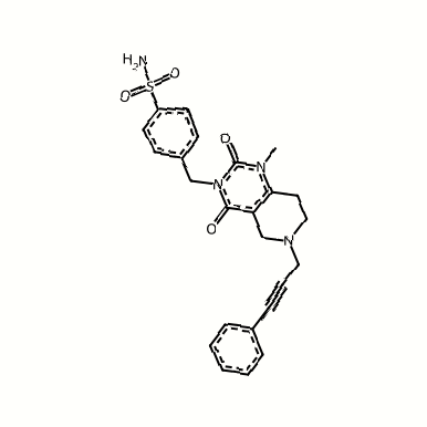 Cn1c2c(c(=O)n(Cc3ccc(S(N)(=O)=O)cc3)c1=O)CN(CC#Cc1ccccc1)CC2